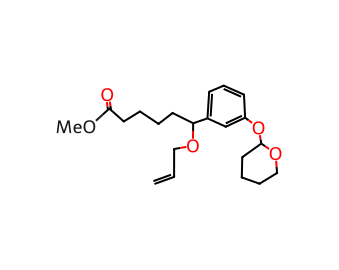 C=CCOC(CCCCC(=O)OC)c1cccc(OC2CCCCO2)c1